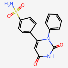 NS(=O)(=O)c1ccc(-c2cc(=O)[nH]c(=O)n2-c2ccccc2)cc1